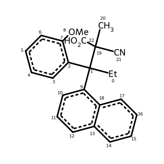 CCC(c1ccccc1OC)(c1cccc2ccccc12)C(C)(C#N)C(=O)O